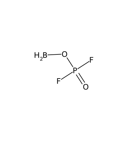 BOP(=O)(F)F